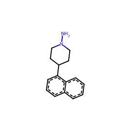 NN1CCC(c2cccc3ccccc23)CC1